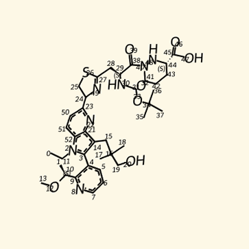 CCn1c(-c2cccnc2[C@H](C)OC)c(CC(C)(C)CO)c2nc(C3CSC(C[C@H](NC(=O)OC(C)(C)C)C(=O)N4CCC[C@@H](C(=O)O)N4)=N3)ccc21